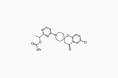 CCCC(=O)OC(C)c1nccc(N2CCC3(CC2)CC(=O)c2cc(Cl)ccc2O3)n1